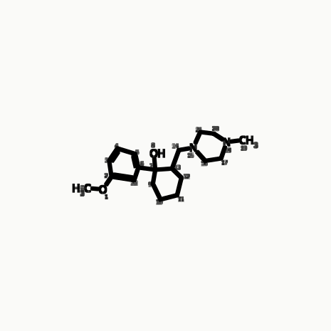 COc1cccc(C2(O)CCCCC2CN2CCN(C)CC2)c1